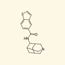 O=C(NC1C2CC3CC1CN(C3)C2)c1ccc2sccc2c1